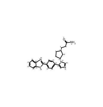 NC(=O)CC[C@@H]1CC[C@@H](n2cncc2-c2ccc(-c3nc4ccccc4s3)cc2)C1